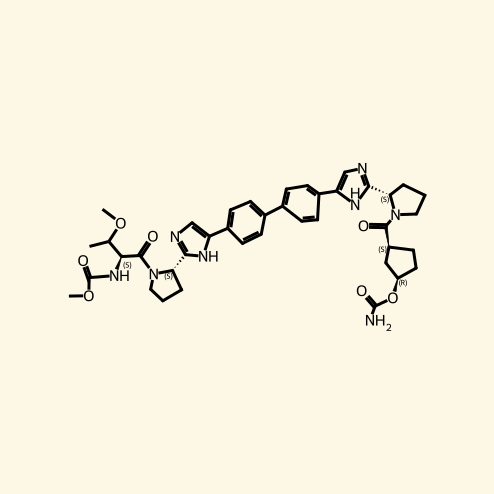 COC(=O)N[C@H](C(=O)N1CCC[C@H]1c1ncc(-c2ccc(-c3ccc(-c4cnc([C@@H]5CCCN5C(=O)[C@H]5CC[C@@H](OC(N)=O)C5)[nH]4)cc3)cc2)[nH]1)C(C)OC